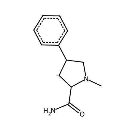 CN1CC(c2ccccc2)[CH]C1C(N)=O